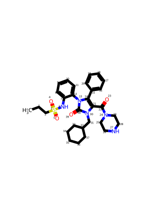 CCCS(=O)(=O)Nc1ccccc1-n1c(-c2ccccc2)c(C(=O)N2CCNCC2)n(CC2CCCCC2)c1=O